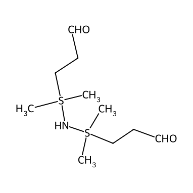 CS(C)(CCC=O)NS(C)(C)CCC=O